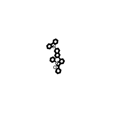 c1ccc(-n2c3oc4ccccc4c3c3cccc(-c4ccc5cc(-n6c7ccccc7c7ccccc76)ccc5c4)c32)cc1